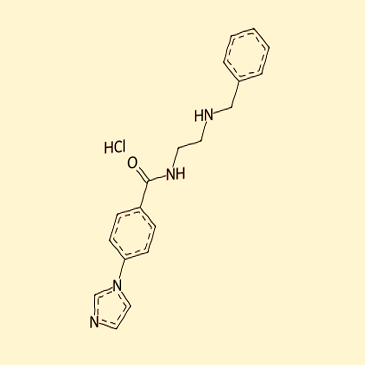 Cl.O=C(NCCNCc1ccccc1)c1ccc(-n2ccnc2)cc1